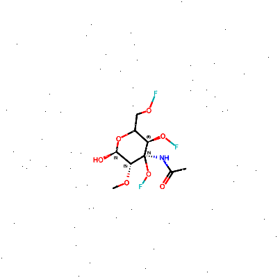 CO[C@@H]1[C@@H](O)OC(COF)[C@@H](OF)[C@@]1(NC(C)=O)OF